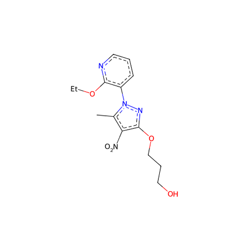 CCOc1ncccc1-n1nc(OCCCO)c([N+](=O)[O-])c1C